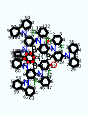 Fc1cccc(F)c1N1c2cc3c(cc2B2c4cc5c(cc4Oc4cc(-n6c7ccccc7c7ccccc76)cc1c42)N(c1c(F)cccc1F)c1cc(-n2c4ccccc4c4ccccc42)cc2c1B5c1cccc4c5ccccc5n-2c14)B1c2c(cc(-n4c5ccccc5c5ccccc54)cc2-n2c4ccccc4c4cccc1c42)N3c1c(F)cccc1F